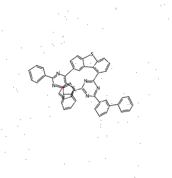 c1ccc(-c2cccc(-c3nc(-c4ccccc4)nc(-c4cccc5sc6ccc(-c7nc(-c8ccccc8)nc8c7sc7ccccc78)cc6c45)n3)c2)cc1